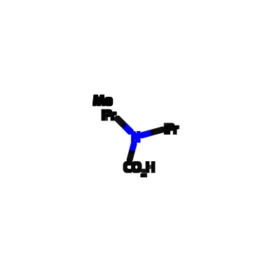 CC(C)N(C(=O)O)C(C)C.[Mo]